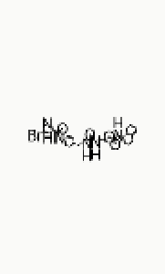 O=C(NCCOC(=O)Nc1cccc2ccccc12)NCCc1ccc(NC(=O)c2cncc(Br)c2)cc1